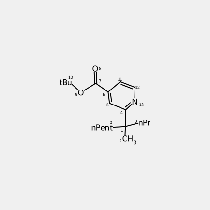 CCCCCC(C)(CCC)c1cc(C(=O)OC(C)(C)C)ccn1